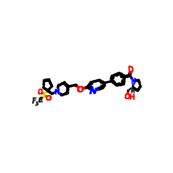 O=C(c1ccc(-c2ccc(OCC3CCN(CC4(S(=O)(=O)C(F)(F)F)CCCC4)CC3)nc2)cc1)N1CCC[C@@H]1CO